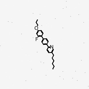 CCCCCCc1ccc(-c2ccc(-c3ccc(OCCC)cc3F)cc2)nc1